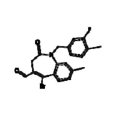 Cc1ccc2c(c1)N(Cc1ccc(C)c(F)c1)C(=O)CC(C=O)=C2Br